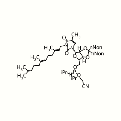 CCCCCCCCCC1(CCCCCCCCC)O[C@@H]2[C@H](O1)[C@@H](COP(OCCC#N)N(C(C)C)C(C)C)O[C@H]2n1cc(C)c(=O)n(C/C=C(\C)CC/C=C(\C)CCC=C(C)C)c1=O